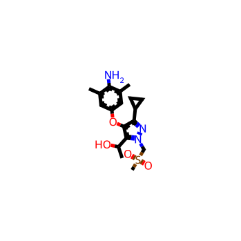 Cc1cc(Oc2c(C3CC3)nn(CS(C)(=O)=O)c2C(C)O)cc(C)c1N